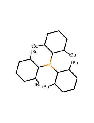 CC(C)(C)C1CCCC(C(C)(C)C)C1P(C1C(C(C)(C)C)CCCC1C(C)(C)C)C1C(C(C)(C)C)CCCC1C(C)(C)C